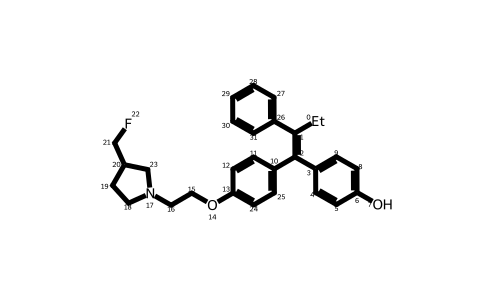 CC/C(=C(\c1ccc(O)cc1)c1ccc(OCCN2CCC(CF)C2)cc1)c1ccccc1